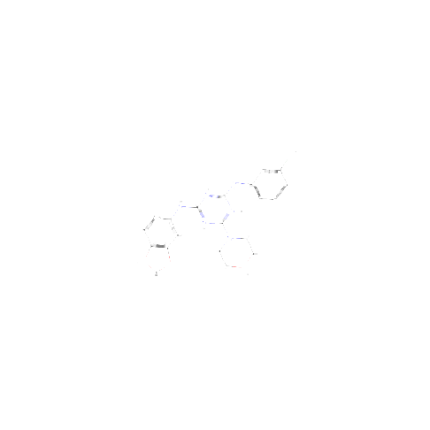 Fc1cccc(Nc2nc(Nc3ccc4c(c3)OCO4)nc(N3CCOCC3)n2)c1